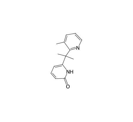 Cc1cccnc1C(C)(C)c1cccc(=O)[nH]1